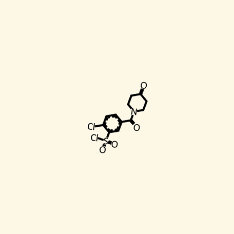 O=C1CCN(C(=O)c2ccc(Cl)c(S(=O)(=O)Cl)c2)CC1